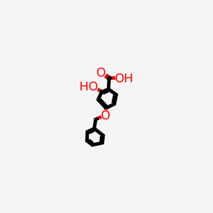 O=C(O)c1ccc(OCc2ccccc2)cc1O